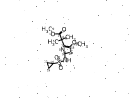 COC(=O)C(C)(C)c1nc(NS(=O)(=O)C2CC2)sc1OC